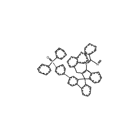 C=N/C(=N\C1=C(Cc2cccc3ccccc23)C2(c3ccccc31)c1ccccc1-c1ccc(-c3ccc(P(=O)(c4ccccc4)c4ccccc4)cc3)cc12)c1ccccc1